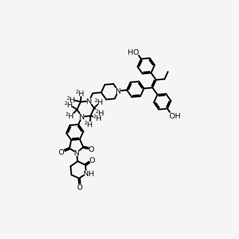 [2H]C1([2H])N(CC2CCN(c3ccc(C(=C(CC)c4ccc(O)cc4)c4ccc(O)cc4)cc3)CC2)C([2H])([2H])C([2H])([2H])N(c2ccc3c(c2)C(=O)N(C2CCC(=O)NC2=O)C3=O)C1([2H])[2H]